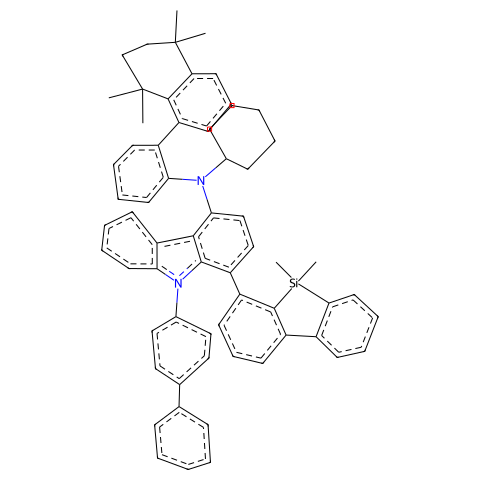 CC1(C)CCC(C)(C)c2c(-c3ccccc3N(c3ccc(-c4cccc5c4[Si](C)(C)c4ccccc4-5)c4c3c3ccccc3n4-c3ccc(-c4ccccc4)cc3)C3CCCCC3)cccc21